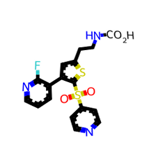 O=C(O)NCCc1cc(-c2cccnc2F)c(S(=O)(=O)c2ccncc2)s1